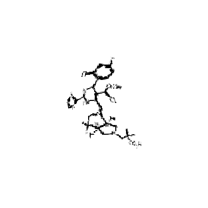 COC(=O)C1=C(CN2CC(F)(F)[C@@H]3CN(CC(C)(C)C(=O)O)C[C@@H]32)NC(c2nccs2)=NC1c1ccc(F)cc1Cl